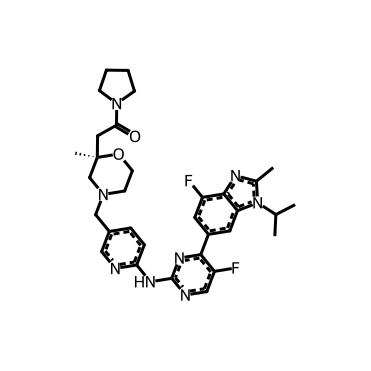 Cc1nc2c(F)cc(-c3nc(Nc4ccc(CN5CCO[C@](C)(CC(=O)N6CCCC6)C5)cn4)ncc3F)cc2n1C(C)C